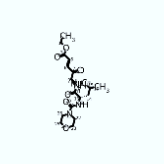 CCOC(=O)/C=C/C(=O)CNC(=O)[C@H](CC(C)C)NC(=O)N1CCOCC1